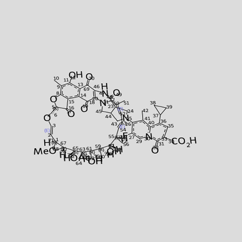 CO[C@H]1/C=C/O[C@@]2(C)Oc3c(C)c(O)c4c(c3C2=O)C(=O)C(N2CC3CN(c5c(F)cn6c(=O)c(C(=O)O)cc(C7CC7)c6c5C)CC3C2)=C(NC(=O)/C(C)=C\C=C\[C@H](C)[C@H](O)[C@@H](C)[C@@H](O)[C@@H](C)[C@H](OC(C)=O)[C@@H]1C)C4=O